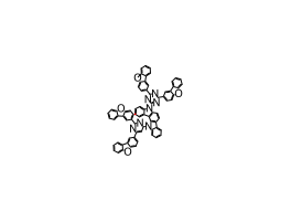 c1ccc2c(c1)oc1ccc(-c3cc(-n4c5ccccc5c5ccc6c(c7ccccc7n6-c6nc(-c7ccc8oc9ccccc9c8c7)nc(-c7ccc8oc9ccccc9c8c7)n6)c54)nc(-c4ccc5oc6ccccc6c5c4)n3)cc12